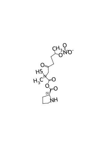 CC(CCC(=O)C[C@](C)(S)C(=O)OC(=O)[C@@H]1CCCN1)O[N+](=O)[O-]